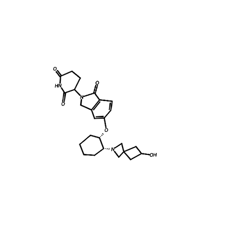 O=C1CCC(N2Cc3cc(O[C@H]4CCCC[C@H]4N4CC5(CC(O)C5)C4)ccc3C2=O)C(=O)N1